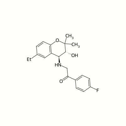 CCc1ccc2c(c1)[C@H](NCC(=O)c1ccc(F)cc1)[C@@H](O)C(C)(C)O2